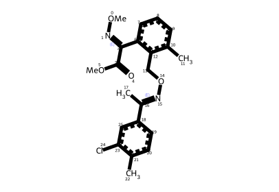 CO/N=C(/C(=O)OC)c1cccc(C)c1CO/N=C(\C)c1ccc(C)c(Cl)c1